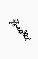 CCC/C(C)=C\c1cn(-c2ccc(CNCCC(=O)NC(=N)N)cc2)c(=O)nc1C